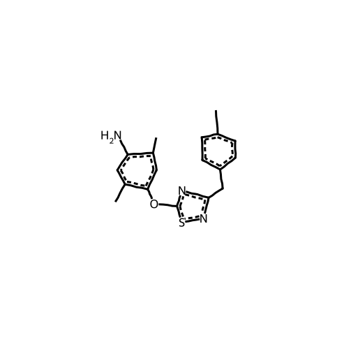 Cc1ccc(Cc2nsc(Oc3cc(C)c(N)cc3C)n2)cc1